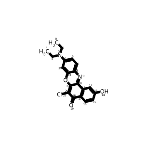 CCN(CC)c1ccc2nc3c4cc(O)ccc4c(=O)c(Cl)c-3oc2c1